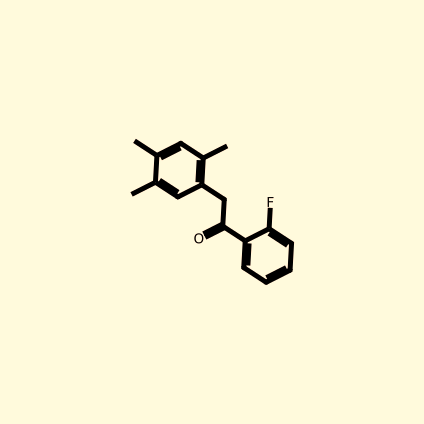 Cc1cc(C)c(CC(=O)c2ccccc2F)cc1C